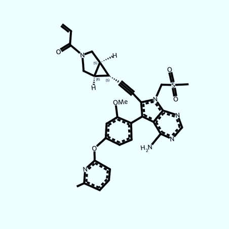 C=CC(=O)N1C[C@@H]2[C@@H](C#Cc3c(-c4ccc(Oc5cccc(C)n5)cc4OC)c4c(N)ncnc4n3CS(C)(=O)=O)[C@@H]2C1